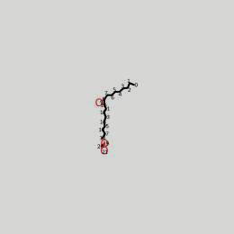 CCCCCCCCC1OC1CCCCCCCCOC=O